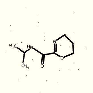 CC(C)NC(=O)C1=NCCCO1